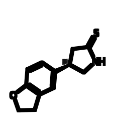 S=C1C[C@H](c2ccc3c(c2)CCO3)CN1